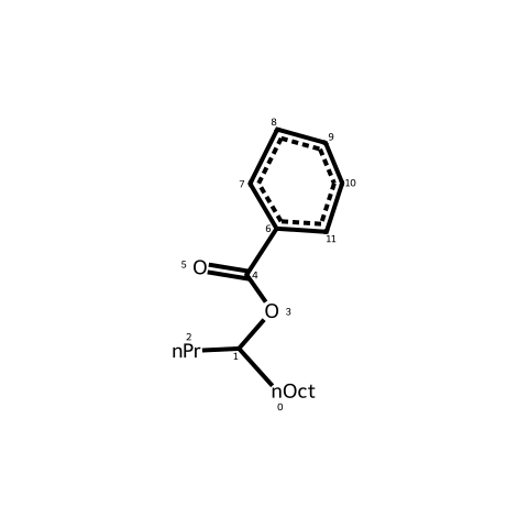 CCCCCCCCC(CCC)OC(=O)c1ccccc1